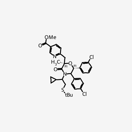 COC(=O)c1ccc(C[C@@]2(C)O[C@H](c3cccc(Cl)c3)C(c3ccc(Cl)cc3)N(C(CSC(C)(C)C)C3CC3)C2=O)nc1